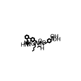 CCCCC(=O)N(Cc1ccc(-c2ccccc2-c2nn[nH]n2)cc1)[C@H](C(=O)NOCc1ccc(B(O)O)cc1)C(C)C